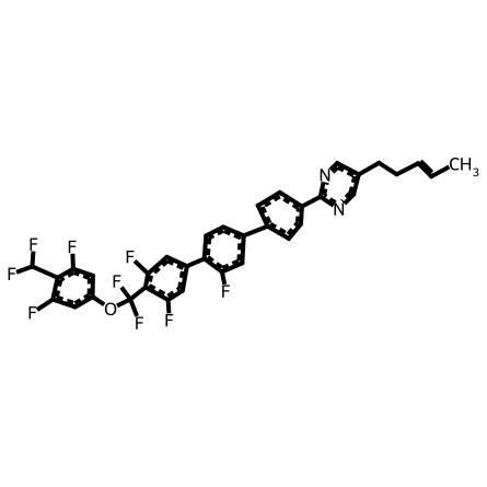 C/C=C/CCc1cnc(-c2ccc(-c3ccc(-c4cc(F)c(C(F)(F)Oc5cc(F)c(C(F)F)c(F)c5)c(F)c4)c(F)c3)cc2)nc1